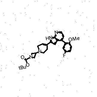 COc1ccc(F)cc1-c1ccnc2[nH]c(C3=CCN(C4CN(C(=O)OC(C)(C)C)C4)CC3)cc12